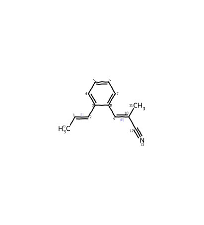 C/C=C/c1ccccc1/C=C(\C)C#N